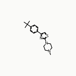 CN1CCN(c2nc(-c3ccc(C(C)(C)C)cc3)cs2)CC1